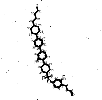 C=CCCc1ccc(OC(F)(F)C2CCC(c3ccc(-c4ccc(C5CCC(CCCCC)CC5)cc4)cc3F)CC2)cc1F